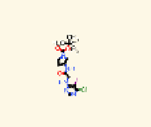 CC(C)(C)OC(=O)N1CCC(NC(=O)CNc2ncnc(Cl)c2I)C1